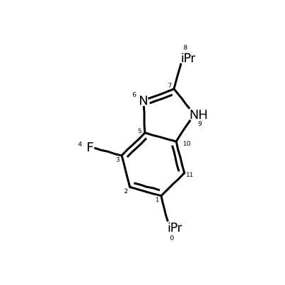 CC(C)c1cc(F)c2nc(C(C)C)[nH]c2c1